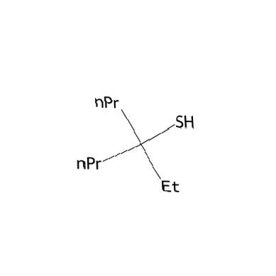 CCCC(S)(CC)CCC